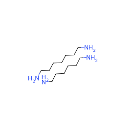 NCCCCCCCN.NCCCCCCN